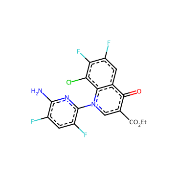 CCOC(=O)c1cn(-c2nc(N)c(F)cc2F)c2c(Cl)c(F)c(F)cc2c1=O